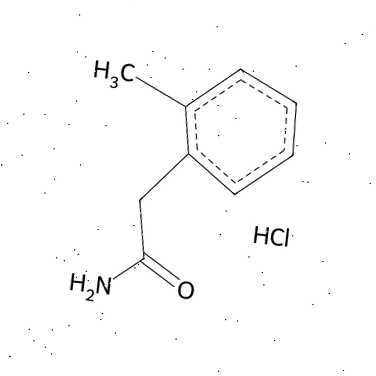 Cc1ccccc1CC(N)=O.Cl